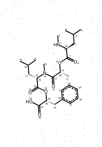 CN[C@@H](CC(C)C)C(=O)O[C@H](C)C(=O)N(C)[C@@H](CC(C)C)C(=O)O[C@H](Cc1ccccc1)C(=O)O